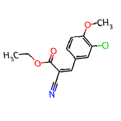 CCOC(=O)C(C#N)=Cc1ccc(OC)c(Cl)c1